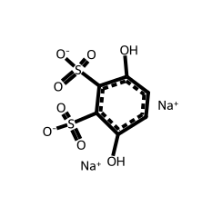 O=S(=O)([O-])c1c(O)ccc(O)c1S(=O)(=O)[O-].[Na+].[Na+]